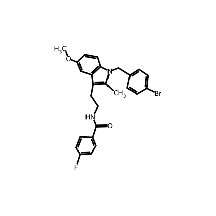 COc1ccc2c(c1)c(CCNC(=O)c1ccc(F)cc1)c(C)n2Cc1ccc(Br)cc1